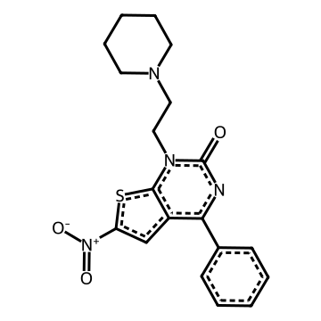 O=c1nc(-c2ccccc2)c2cc([N+](=O)[O-])sc2n1CCN1CCCCC1